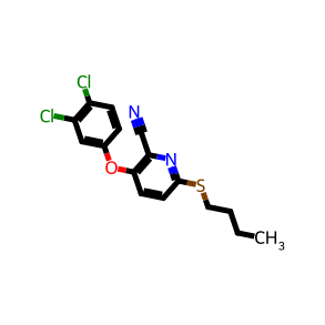 CCCCSc1ccc(Oc2ccc(Cl)c(Cl)c2)c(C#N)n1